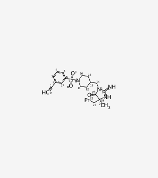 C#Cc1cccc(S(=O)(=O)N2CCC(CN3C(=N)NC(C)(CC(C)C)C3=O)CC2)c1